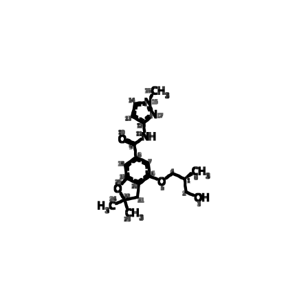 C[C@@H](CO)COc1cc(C(=O)Nc2ccn(C)n2)cc2c1CC(C)(C)O2